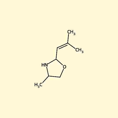 CC(C)=CC1NC(C)CO1